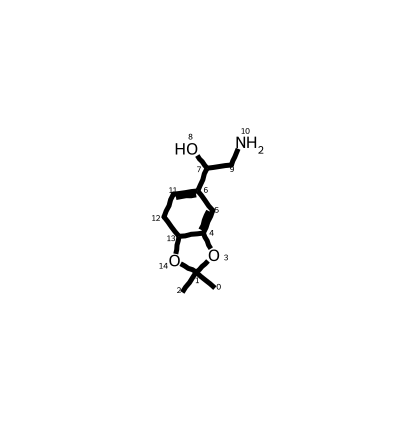 CC1(C)OC2=CC(C(O)CN)=CCC2O1